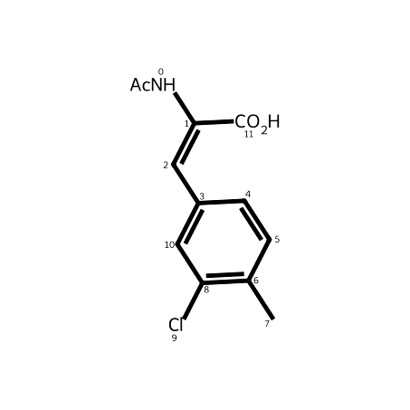 CC(=O)NC(=Cc1ccc(C)c(Cl)c1)C(=O)O